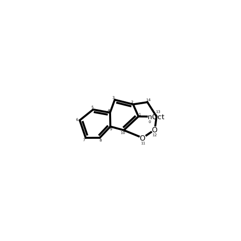 CCCCCCCCc1c2cc3ccccc3c1OOCC2